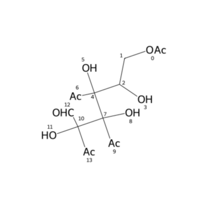 CC(=O)OCC(O)C(O)(C(C)=O)C(O)(C(C)=O)C(O)(C=O)C(C)=O